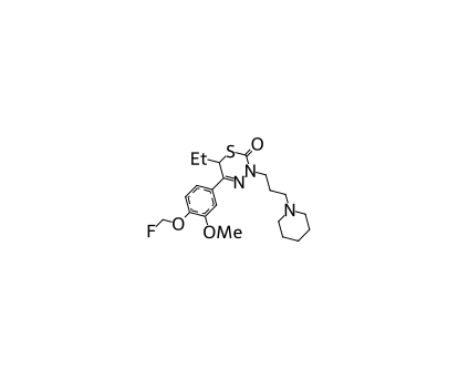 CCC1SC(=O)N(CCCN2CCCCC2)N=C1c1ccc(OCF)c(OC)c1